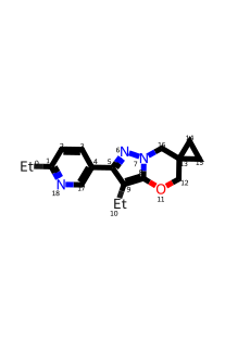 CCc1ccc(-c2nn3c(c2CC)OCC2(CC2)C3)cn1